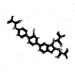 C=C(C)C(=O)Oc1ccc(-c2ccc(-c3ccc4c(c3)C(OC(=O)C(=C)C)C(OC(=O)C(=C)C)C4)cc2F)cc1